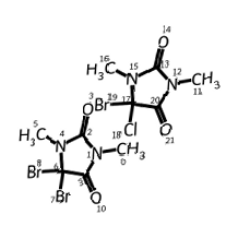 CN1C(=O)N(C)C(Br)(Br)C1=O.CN1C(=O)N(C)C(Cl)(Br)C1=O